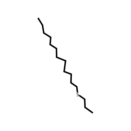 CCCCCCCCCCCCSCCC